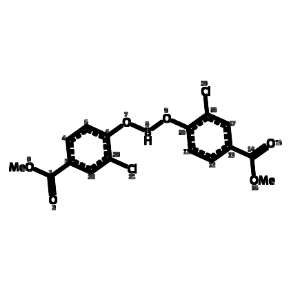 COC(=O)c1ccc(OBOc2ccc(C(=O)OC)cc2Cl)c(Cl)c1